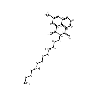 NCCCNCCCCNCCCN1C(=O)c2cccc3cc(N)cc(c23)C1=O